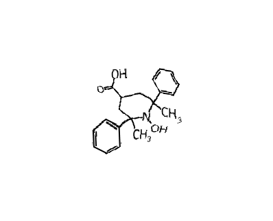 CC1(c2ccccc2)CC(C(=O)O)CC(C)(c2ccccc2)N1O